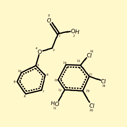 O=C(O)COc1ccccc1.Oc1ccc(Cl)c(Cl)c1Cl